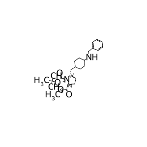 COC(=O)[C@H]1CC[C@@H](CC2CCC(NCc3ccccc3)CC2)N1C(=O)OC(C)(C)C